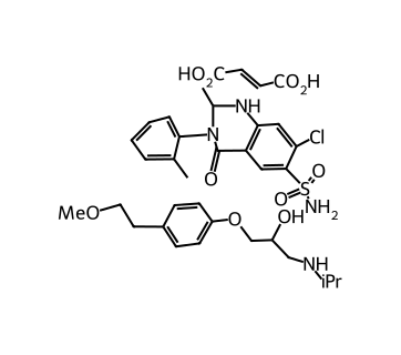 COCCc1ccc(OCC(O)CNC(C)C)cc1.Cc1ccccc1N1C(=O)c2cc(S(N)(=O)=O)c(Cl)cc2NC1C.O=C(O)/C=C/C(=O)O